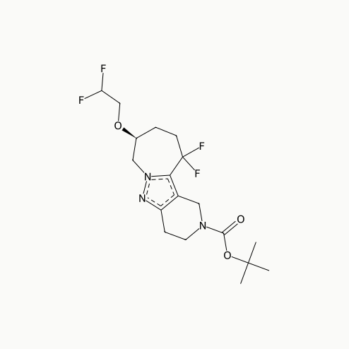 CC(C)(C)OC(=O)N1CCc2nn3c(c2C1)C(F)(F)CC[C@H](OCC(F)F)C3